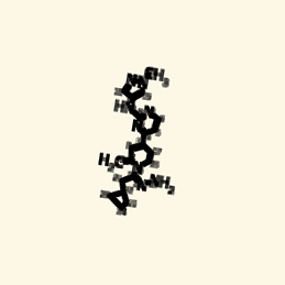 C=C1C=C(c2ccnc(Nc3cnn(C)c3)n2)C=CN1/C(CC1CCC1)=N\N